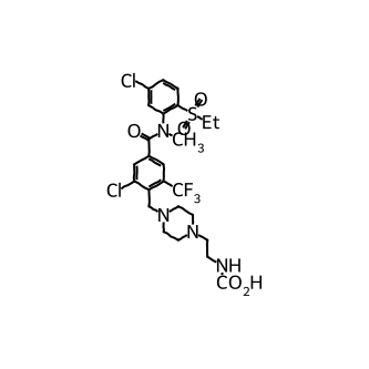 CCS(=O)(=O)c1ccc(Cl)cc1N(C)C(=O)c1cc(Cl)c(CN2CCN(CCNC(=O)O)CC2)c(C(F)(F)F)c1